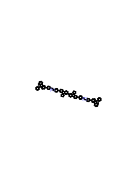 C(=C\c1ccc(-c2ccc3c(c2)c2ccccc2n3-c2ccccc2)cc1)/c1ccc(-c2ccc3c(c2)C2(CCCC2)c2cc(-c4ccc5c(c4)C4(CCCC4)c4cc(-c6ccc(/C=C/c7ccc(-c8ccc9c(c8)c8ccccc8n9-c8ccccc8)cc7)cc6)ccc4-5)ccc2-3)cc1